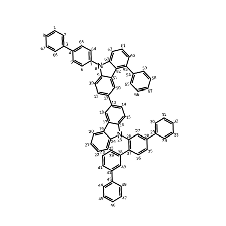 c1ccc(-c2ccc(-n3c4ccc(-c5ccc6c(c5)c5ccccc5n6-c5cc(-c6ccccc6)ccc5-c5cccc(-c6ccccc6)c5)cc4c4c(-c5ccccc5)cccc43)cc2)cc1